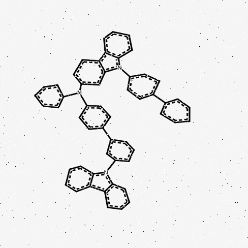 c1ccc(-c2ccc(-n3c4ccccc4c4ccc(N(c5ccccc5)c5ccc(-c6cccc(-n7c8ccccc8c8ccccc87)c6)cc5)cc43)cc2)cc1